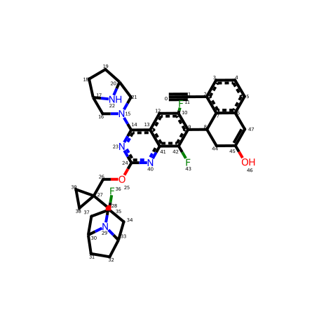 C#Cc1cccc2c1C(c1c(F)cc3c(N4CC5CCC(C4)N5)nc(OCC4(CN5C6CCC5CC(F)C6)CC4)nc3c1F)CC(O)=C2